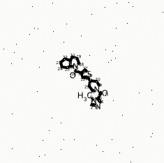 Cn1cncc1C(=O)N1CCC(c2cc(C(=O)N3CCCC4CCCCC43)cs2)CC1